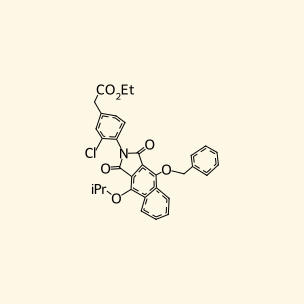 CCOC(=O)Cc1ccc(N2C(=O)c3c(c(OC(C)C)c4ccccc4c3OCc3ccccc3)C2=O)c(Cl)c1